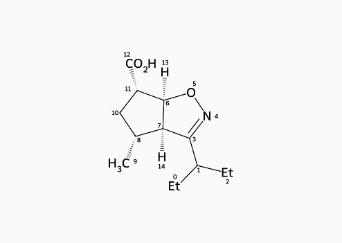 CCC(CC)C1=NO[C@H]2[C@@H]1[C@H](C)C[C@@H]2C(=O)O